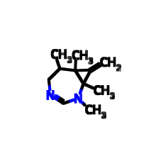 C=C1C2(C)C(C)CN=CN(C)C12C